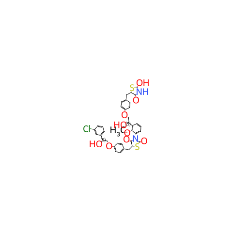 COc1c([C@H](O)COc2ccc(CC3SC(O)NC3=O)cc2)cccc1N1C(=O)SC(Cc2ccc(OC[C@@H](O)c3cccc(Cl)c3)cc2)C1=O